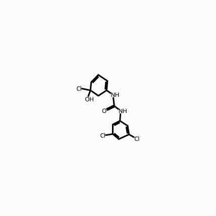 O=C(NC1=CC=CC(O)(Cl)C1)Nc1cc(Cl)cc(Cl)c1